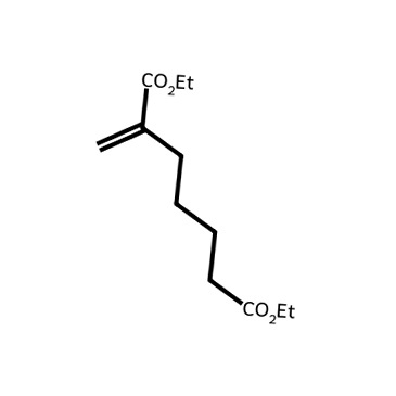 C=C(CCCCC(=O)OCC)C(=O)OCC